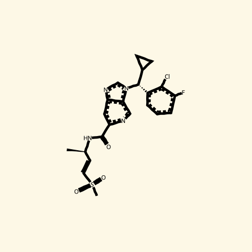 C[C@H](/C=C/S(C)(=O)=O)NC(=O)c1cc2ncn([C@@H](c3cccc(F)c3Cl)C3CC3)c2cn1